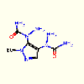 CCn1ncc(N(N)C(N)=O)c1N(N)C(N)=O